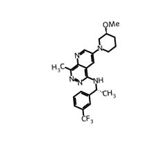 CO[C@H]1CCCN(c2cnc3c(C)nnc(N[C@H](C)c4cccc(C(F)(F)F)c4)c3c2)C1